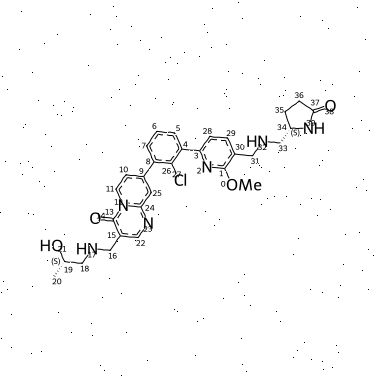 COc1nc(-c2cccc(-c3ccn4c(=O)c(CNC[C@H](C)O)cnc4c3)c2Cl)ccc1CNC[C@@H]1CCC(=O)N1